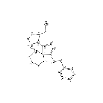 O=C(OCc1ccccc1)C1(C(=O)N2CCCC2CO)CCCC[N+]1=O